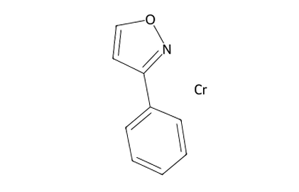 [Cr].c1ccc(-c2ccon2)cc1